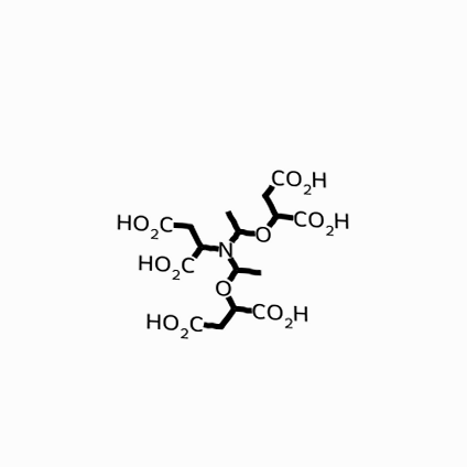 CC(OC(CC(=O)O)C(=O)O)N(C(C)OC(CC(=O)O)C(=O)O)C(CC(=O)O)C(=O)O